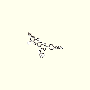 COc1ccc(COc2ccc(Oc3c(Cl)cc(Br)cc3Cl)cc2C(=O)/N=[Si]2\CCOC2)cc1